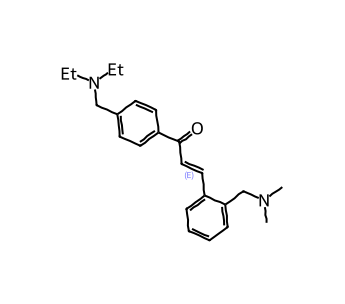 CCN(CC)Cc1ccc(C(=O)/C=C/c2ccccc2CN(C)C)cc1